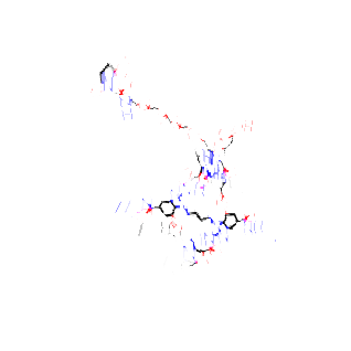 CCc1nc(C)oc1C(=O)Nc1nc2cc(C(N)=O)cc(OC)c2n1C/C=C/Cn1c(NC(=O)c2oc(C)nc2CC)nc2cc(C(N)=O)cc(OCCCNC(=O)[C@@H](CCCC(=O)O)NC(=O)CCOCCOCCOCCOCCNC(=O)CN3C(=O)C=CC3=O)c21